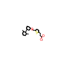 COC(=O)CCc1ccc(COc2cccc(-c3c(C)cccc3C)c2)s1